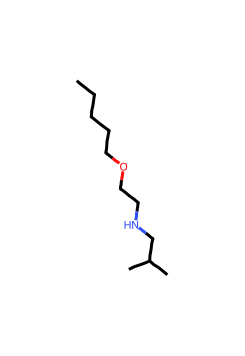 CCCCCOCCNCC(C)C